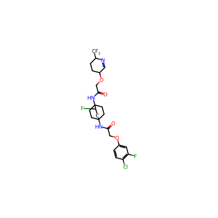 O=C(COc1ccc(Cl)c(F)c1)NC12CCC(NC(=O)COC3C=NC(C(F)(F)F)CC3)(CC1)C(F)C2